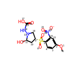 COc1ccc(S(=O)(=O)[C@@H]2C[C@@H](O)N(NC(=O)O)C2)c([N+](=O)[O-])c1